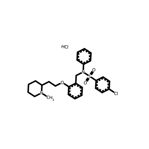 CN1CCCCC1CCOc1ccccc1CN(c1ccccc1)S(=O)(=O)c1ccc(Cl)cc1.Cl